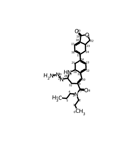 CCCN(CCC)C(=O)C1=CC2=CC=C(C3=CC=C4C(=O)OCC4C3)CC2NC(N=NN)C1